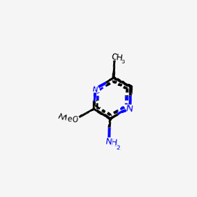 COc1nc(C)cnc1N